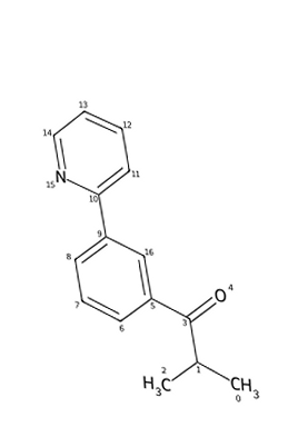 CC(C)C(=O)c1cccc(-c2ccccn2)c1